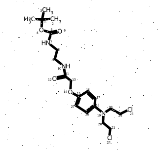 CC(C)(C)OC(=O)NCCNC(=O)COc1ccc(N(CCCl)CCCl)cc1